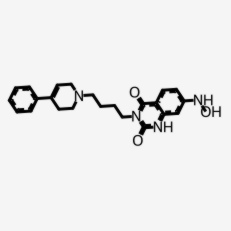 O=c1[nH]c2cc(NO)ccc2c(=O)n1CCCCN1CC=C(c2ccccc2)CC1